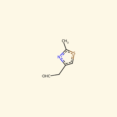 Cc1nc(C[C]=O)cs1